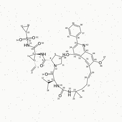 C=C[C@@H]1C[C@]1(NC(=O)[C@@H]1C[C@@H]2CN1C(=O)[C@H](C(C)C)NC(=O)NC(C)(C)CC/C=C/c1cc3c(cc(-c4ccccc4)nc3cc1OC)O2)C(=O)NS(=O)(=O)C1CC1